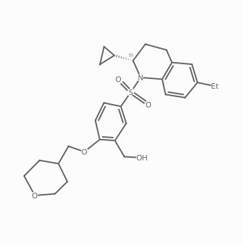 CCc1ccc2c(c1)CC[C@@H](C1CC1)N2S(=O)(=O)c1ccc(OCC2CCOCC2)c(CO)c1